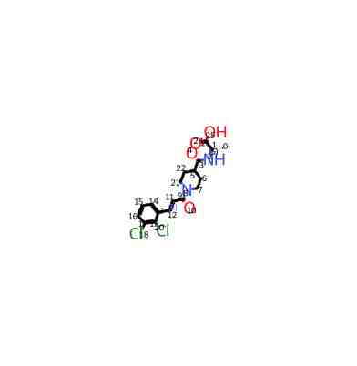 C[C@H](NC(=O)C1CCN(C(=O)/C=C/c2cccc(Cl)c2Cl)CC1)C(=O)O